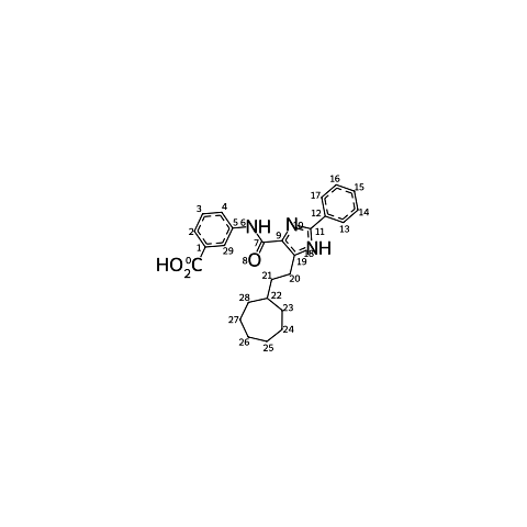 O=C(O)c1cccc(NC(=O)c2nc(-c3ccccc3)[nH]c2CCC2CCCCCC2)c1